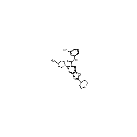 N#Cc1cccc(NC(=O)c2cc3oc(N4CCOCC4)nc3nc2N2CCC(O)CC2)n1